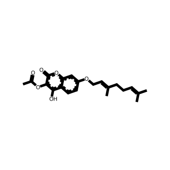 CC(=O)Oc1c(O)c2ccc(OC/C=C(\C)CCC=C(C)C)cc2oc1=O